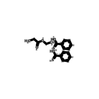 CCOC(=O)CC.OC(=S)c1ccccc1.OC(=S)c1ccccc1